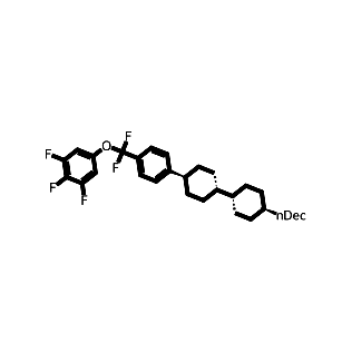 CCCCCCCCCC[C@H]1CC[C@H]([C@H]2CC[C@H](c3ccc(C(F)(F)Oc4cc(F)c(F)c(F)c4)cc3)CC2)CC1